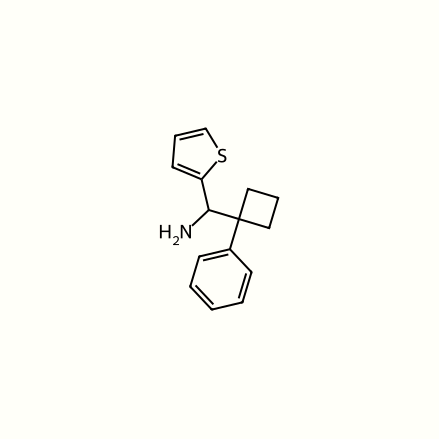 NC(c1cccs1)C1(c2ccccc2)CCC1